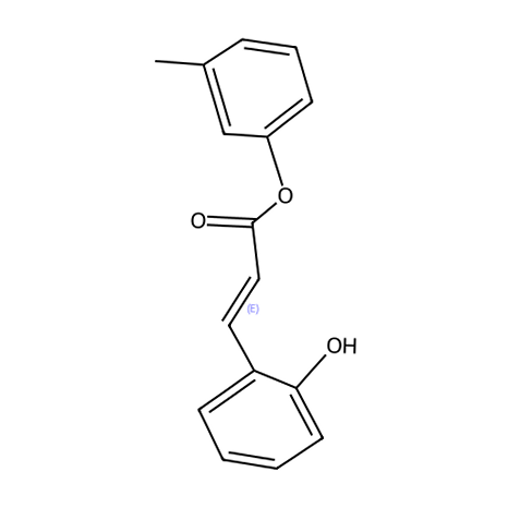 Cc1cccc(OC(=O)/C=C/c2ccccc2O)c1